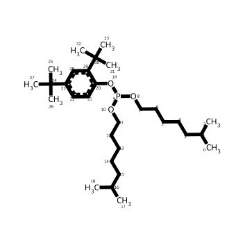 CC(C)CCCCCOP(OCCCCCC(C)C)Oc1ccc(C(C)(C)C)cc1C(C)(C)C